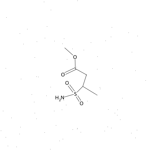 COC(=O)CC(C)S(N)(=O)=O